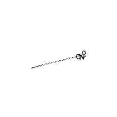 CCCCCCCCCCCCCCCCCCCCCCCCCCCCOCc1nccc2ccccc12